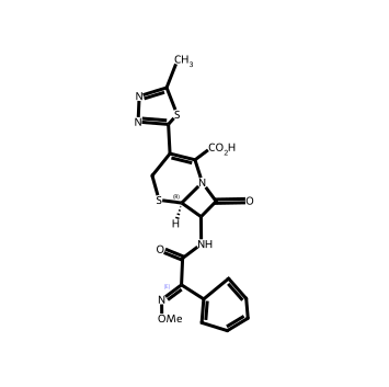 CO/N=C(/C(=O)NC1C(=O)N2C(C(=O)O)=C(c3nnc(C)s3)CS[C@H]12)c1ccccc1